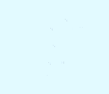 CN(C)c1ccccc1-n1ccc2c(=O)[nH]cnc21